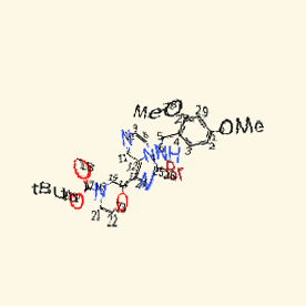 COc1ccc(CN[N+]23C=CN=CC2=C(C2CN(C(=O)OC(C)(C)C)CCO2)N=C3Br)c(OC)c1